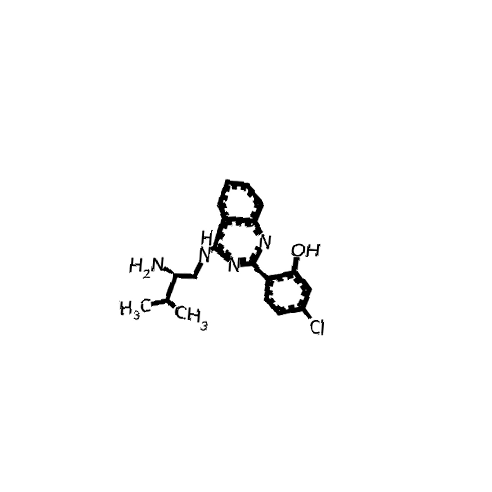 CC(C)[C@@H](N)CNc1nc(-c2ccc(Cl)cc2O)nc2ccccc12